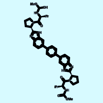 COC(=O)N[C@H](C(=O)N1CCC[C@H]1c1nc2ccc(-c3ccc(-c4ccc5nc([C@@H]6CCCN6C(=O)[C@@H](NC(O)OC)C(C)C)[nH]c5c4)cc3)cc2[nH]1)C(C)C